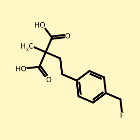 CC(CCc1ccc(CF)cc1)(C(=O)O)C(=O)O